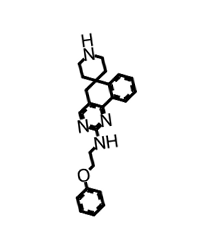 c1ccc(OCCNc2ncc3c(n2)-c2ccccc2C2(CCNCC2)C3)cc1